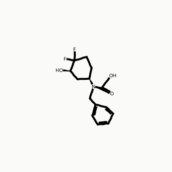 O=C(O)N(Cc1ccccc1)[C@@H]1CCC(F)(F)[C@H](O)C1